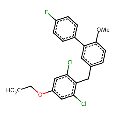 COc1ccc(Cc2c(Cl)cc(OCC(=O)O)cc2Cl)cc1-c1ccc(F)cc1